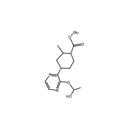 CC(O)Oc1nccnc1N1CCN(C(=O)OC(C)(C)C)C(C)C1